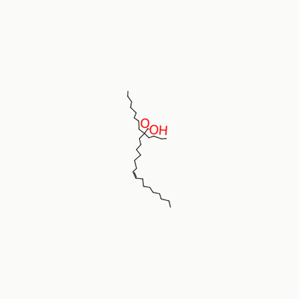 CCCCCCCC/C=C\CCCCCCC(CCCC)(CCCCCCCC)C(=O)O